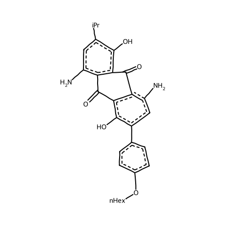 CCCCCCOc1ccc(-c2cc(N)c3c(c2O)C(=O)c2c(N)cc(C(C)C)c(O)c2C3=O)cc1